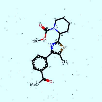 COC(=O)c1cccc(-c2nc(C3CCCCN3C(=O)OC(C)(C)C)sc2C)c1